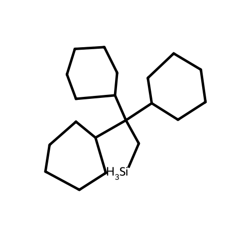 [SiH3]CC(C1CCCCC1)(C1CCCCC1)C1CCCCC1